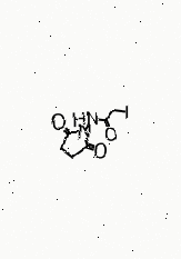 O=C(CI)NN1C(=O)CCC1=O